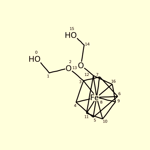 OCO[C]12[CH]3[CH]4[CH]5[CH]1[Fe]45321678[CH]2[CH]1[CH]6[C]7(OCO)[CH]28